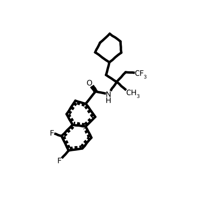 CC(CC1CCCCC1)(CC(F)(F)F)NC(=O)c1ccc2c(F)c(F)ccc2c1